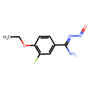 CCOc1ccc(/C(N)=N/N=O)cc1F